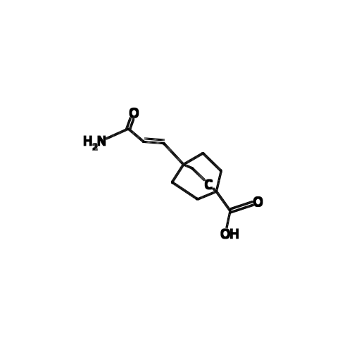 NC(=O)C=CC12CCC(C(=O)O)(CC1)CC2